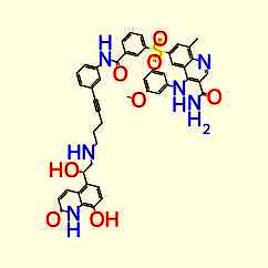 COc1cccc(Nc2c(C(N)=O)cnc3c(C)cc(S(=O)(=O)c4cccc(C(=O)Nc5cccc(C#CCCCNC[C@H](O)c6ccc(O)c7[nH]c(=O)ccc67)c5)c4)cc23)c1